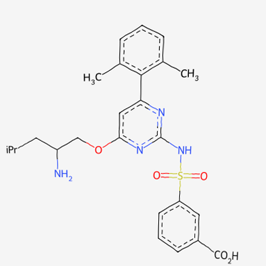 Cc1cccc(C)c1-c1cc(OCC(N)CC(C)C)nc(NS(=O)(=O)c2cccc(C(=O)O)c2)n1